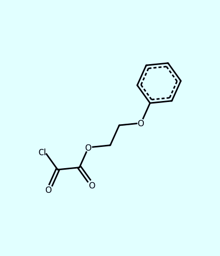 O=C(Cl)C(=O)OCCOc1ccccc1